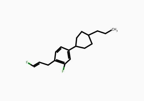 CCCC1CCC(c2ccc(CC=CF)c(F)c2)CC1